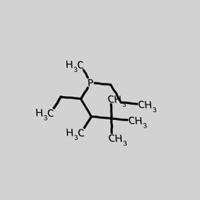 CCCP(C)C(CC)C(C)C(C)(C)C